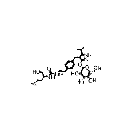 CSCC[C@@H](CO)NC(=O)NCCc1ccc(Cc2c(O[C@@H]3O[C@H](CO)[C@@H](O)[C@H](O)[C@H]3O)n[nH]c2C(C)C)cc1